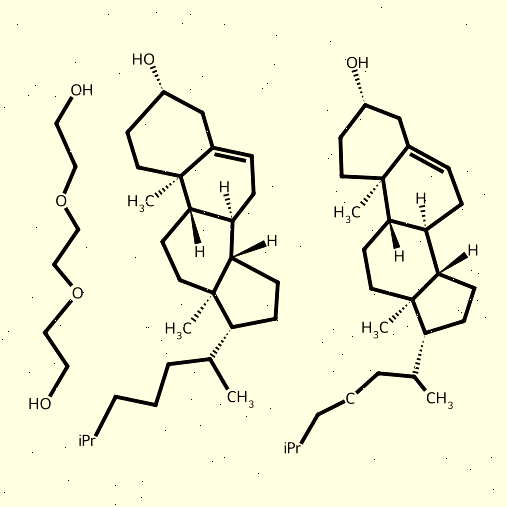 CC(C)CCCC(C)[C@H]1CC[C@H]2[C@@H]3CC=C4C[C@@H](O)CC[C@]4(C)[C@H]3CC[C@]12C.CC(C)CCCC(C)[C@H]1CC[C@H]2[C@@H]3CC=C4C[C@@H](O)CC[C@]4(C)[C@H]3CC[C@]12C.OCCOCCOCCO